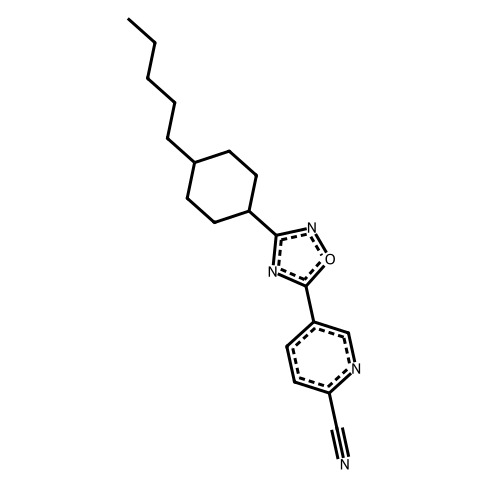 CCCCCC1CCC(c2noc(-c3ccc(C#N)nc3)n2)CC1